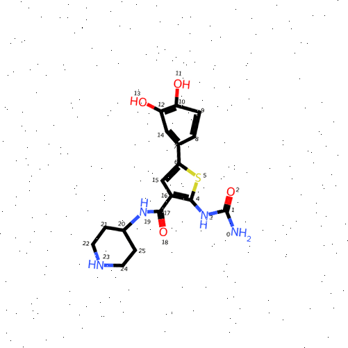 NC(=O)Nc1sc(-c2ccc(O)c(O)c2)cc1C(=O)NC1CCNCC1